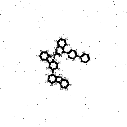 C1=CCCC(C2=CC=C(c3nc(-n4c5ccccc5c5cc(-c6cccc7c6oc6ccccc67)ccc54)nc4ccccc34)CC2)=C1